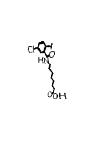 O=C(O)CCCCCCCNC(=O)c1cc(Cl)ccc1I